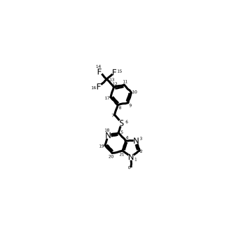 Cn1cnc2c(SCc3cccc(C(F)(F)F)c3)nccc21